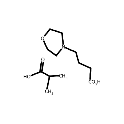 CC(C)C(=O)O.O=C(O)CCCN1CCOCC1